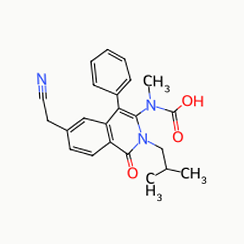 CC(C)Cn1c(N(C)C(=O)O)c(-c2ccccc2)c2cc(CC#N)ccc2c1=O